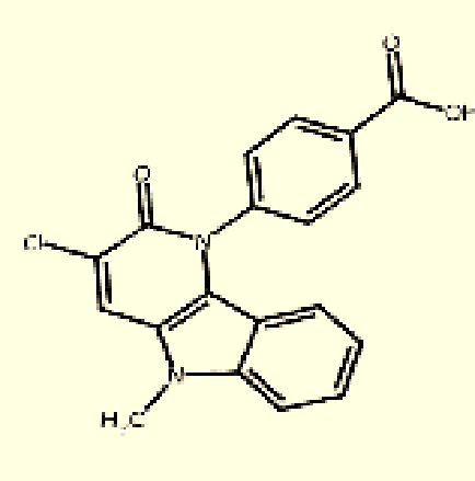 Cn1c2ccccc2c2c1cc(Cl)c(=O)n2-c1ccc(C(=O)O)cc1